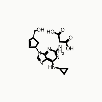 Nc1nc(NC2CC2)c2ncn([C@H]3C=C[C@@H](CO)C3)c2n1.O=C(O)CC(=O)O